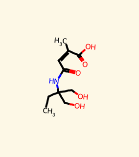 CCC(CO)(CO)NC(=O)/C=C(/C)C(=O)O